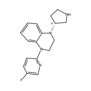 Fc1ccc(N2CCN([C@@H]3CCNC3)c3ccccc32)nc1